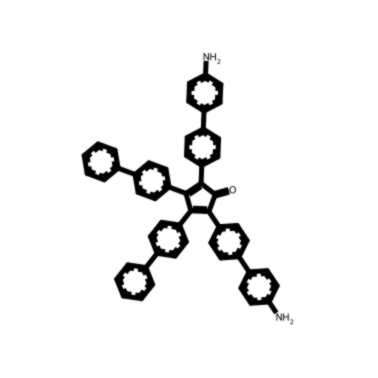 Nc1ccc(-c2ccc(C3=C(c4ccc(-c5ccccc5)cc4)C(c4ccc(-c5ccccc5)cc4)=C(c4ccc(-c5ccc(N)cc5)cc4)C3=O)cc2)cc1